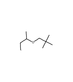 [CH2]CC(C)OCC(C)(C)C